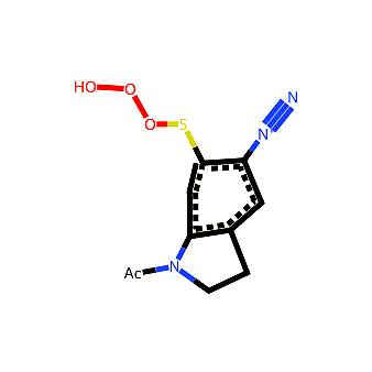 CC(=O)N1CCc2cc([N+]#N)c(SOOO)cc21